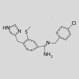 CSc1cc(C(N)=NCc2ccc(Cl)cc2)ccc1Cc1c[nH]cn1